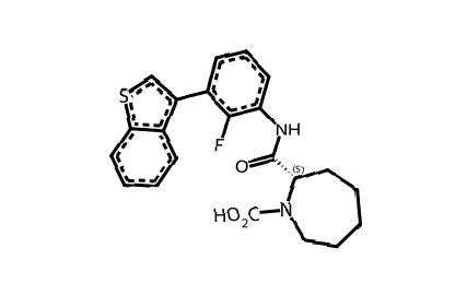 O=C(Nc1cccc(-c2csc3ccccc23)c1F)[C@@H]1CCCCCN1C(=O)O